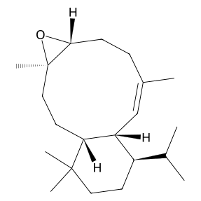 C/C1=C/[C@@H]2[C@@H](C(C)C)CCC(C)(C)[C@@H]2CC[C@@]2(C)O[C@@H]2CC1